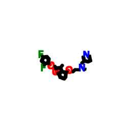 Cc1c(COc2ccc(F)cc2F)oc2cccc(OCCCN(C)Cc3cccnc3)c12